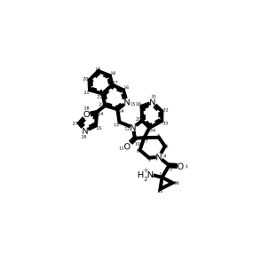 NC1(C(=O)N2CCC3(CC2)C(=O)N(Cc2ncc4ccccc4c2-c2cnco2)c2cnccc23)CC1